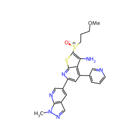 COCCC[S@+]([O-])c1sc2nc(-c3cnc4c(cnn4C)c3)cc(-c3cccnc3)c2c1N